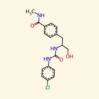 CNC(=O)c1ccc(CC(CO)NC(=O)Nc2ccc(Cl)cc2)cc1